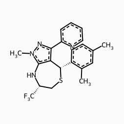 Cc1ccc([C@@H]2SC[C@H](C(F)(F)F)Nc3c2c(-c2ccccn2)nn3C)c(C)c1